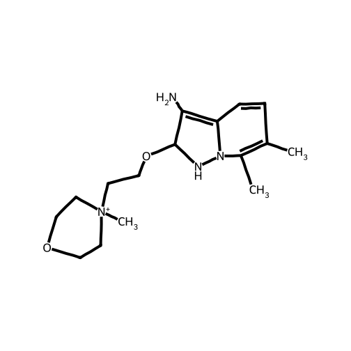 CC1=C(C)N2NC(OCC[N+]3(C)CCOCC3)C(N)=C2C=C1